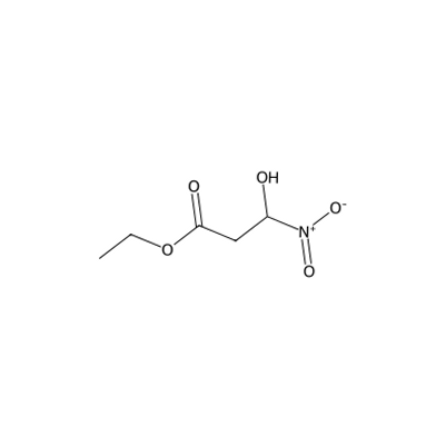 CCOC(=O)CC(O)[N+](=O)[O-]